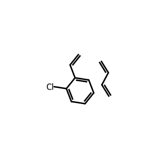 C=CC=C.C=Cc1ccccc1Cl